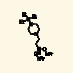 CCCO[SiH](CCN1CCN([Si](CC)(CC)CC)CC1)OCCC